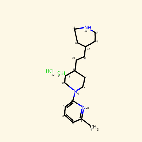 Cc1cccc(N2CCC(CCC3CCNCC3)CC2)n1.Cl.Cl